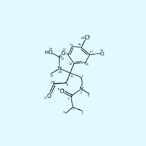 CC(C)C(=O)N(C)CC(CC=O)(c1ccc(Cl)c(Cl)c1)N(C)C(=O)O